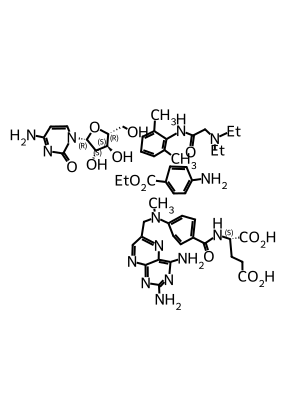 CCN(CC)CC(=O)Nc1c(C)cccc1C.CCOC(=O)c1ccc(N)cc1.CN(Cc1cnc2nc(N)nc(N)c2n1)c1ccc(C(=O)N[C@@H](CCC(=O)O)C(=O)O)cc1.Nc1ccn([C@@H]2O[C@H](CO)[C@@H](O)[C@@H]2O)c(=O)n1